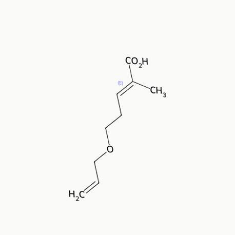 C=CCOCC/C=C(\C)C(=O)O